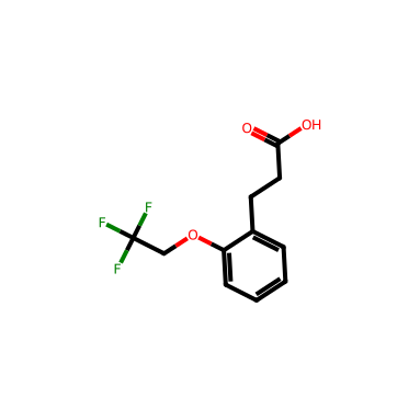 O=C(O)CCc1ccccc1OCC(F)(F)F